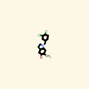 Cc1cc2c(cc1Br)CCN2Cc1ccc(Cl)c(Cl)c1